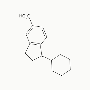 O=C(O)c1ccc2c(c1)CCN2C1CCCCC1